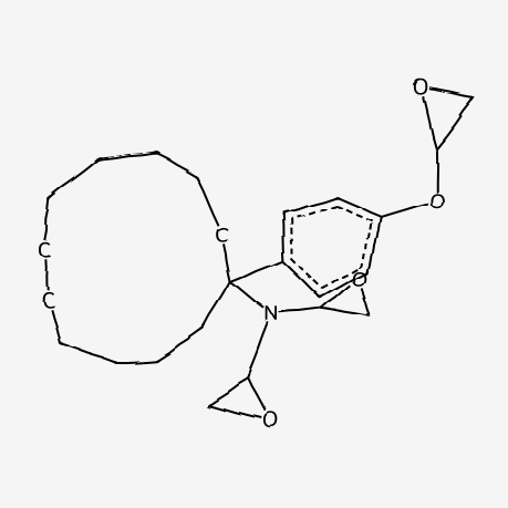 c1cc(C2(N(C3CO3)C3CO3)CCCCCCCCCCC2)ccc1OC1CO1